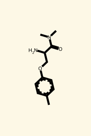 Cc1ccc(OCC(N)C(=O)N(C)C)cc1